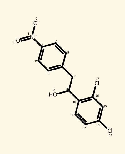 O=[N+]([O-])c1ccc(CC(O)c2ccc(Cl)cc2Cl)cc1